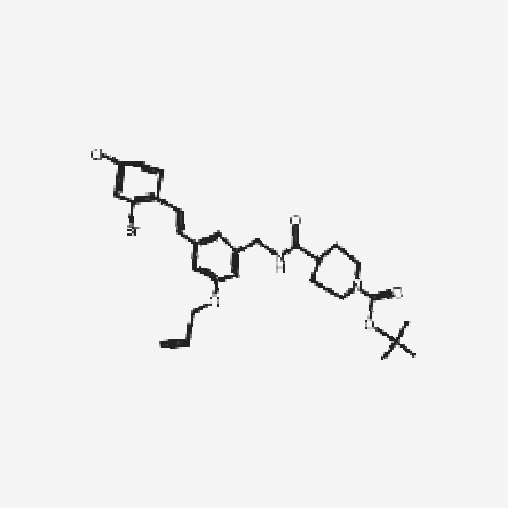 C=CCOc1cc(C=Cc2ccc(Cl)cc2Br)cc(CNC(=O)C2CCN(C(=O)OC(C)(C)C)CC2)c1